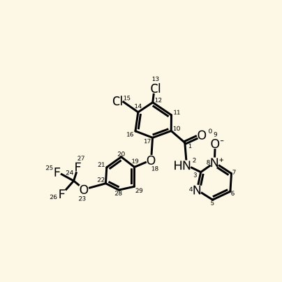 O=C(Nc1nccc[n+]1[O-])c1cc(Cl)c(Cl)cc1Oc1ccc(OC(F)(F)F)cc1